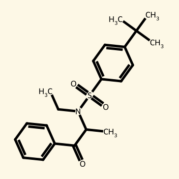 CCN(C(C)C(=O)c1ccccc1)S(=O)(=O)c1ccc(C(C)(C)C)cc1